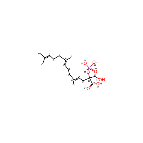 CC(C)=CCCC(C)=CCCC(C)=CCC(CO)(OP(=O)(O)O)C(=O)O